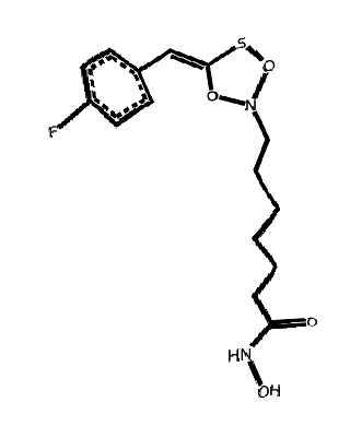 O=C(CCCCCCN1OSC(=Cc2ccc(F)cc2)O1)NO